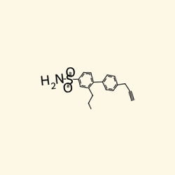 C#CCc1ccc(-c2ccc(S(N)(=O)=O)cc2CCC)cc1